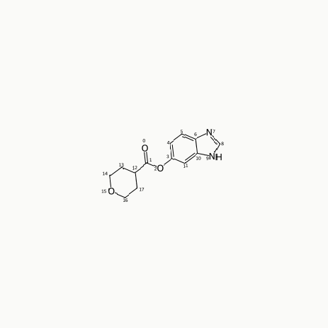 O=C(Oc1ccc2nc[nH]c2c1)C1CCOCC1